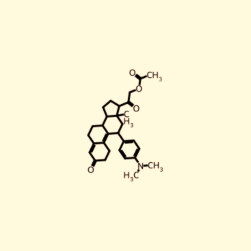 CC(=O)OCC(=O)C1CCC2C3CCC4=CC(=O)CCC4=C3C(c3ccc(N(C)C)cc3)CC12C